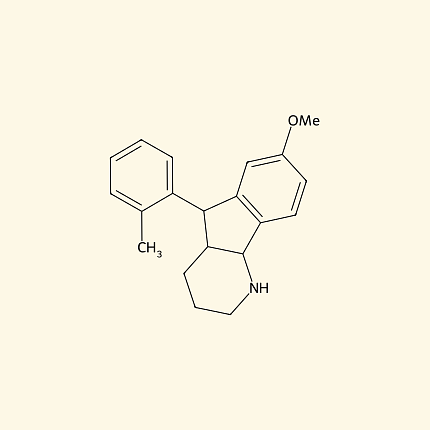 COc1ccc2c(c1)C(c1ccccc1C)C1CCCNC21